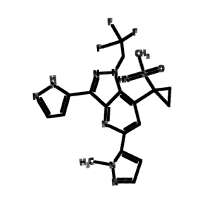 Cn1nccc1-c1cc(C2(S(C)(=N)=O)CC2)c2c(n1)c(-c1ccn[nH]1)nn2CC(F)(F)F